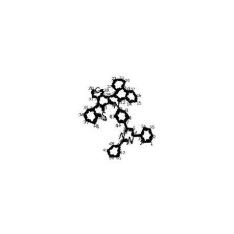 c1ccc(-c2cc(-c3ccc(-n4c5c6ccccc6c6ccccc6c5c5c6ccccc6c6c7ccccc7sc6c54)cc3)nc(-c3ccccc3)n2)cc1